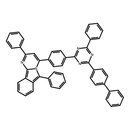 c1ccc(-c2ccc(-c3nc(-c4ccccc4)nc(-c4ccc(-c5cc(-c6ccccc6)nc6c7ccccc7c(-c7ccccc7)n56)cc4)n3)cc2)cc1